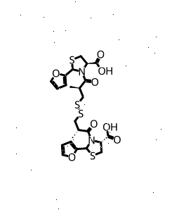 C[C@H](CSSC[C@@H](C)C(=O)N1C(c2ccco2)SC[C@H]1C(=O)O)C(=O)N1C(c2ccco2)SC[C@H]1C(=O)O